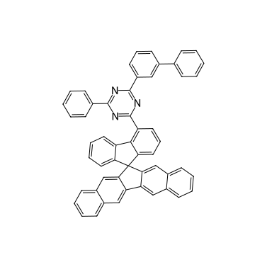 c1ccc(-c2cccc(-c3nc(-c4ccccc4)nc(-c4cccc5c4-c4ccccc4C54c5cc6ccccc6cc5-c5cc6ccccc6cc54)n3)c2)cc1